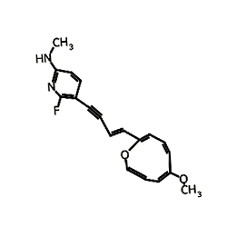 CNc1ccc(C#C/C=C/c2cccc(OC)ccco2)c(F)n1